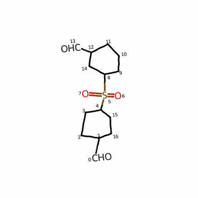 O=CC1CCC(S(=O)(=O)C2CCCC(C=O)C2)CC1